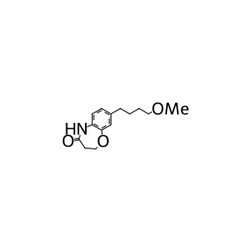 COCCCCc1ccc2c(c1)OCCC(=O)N2